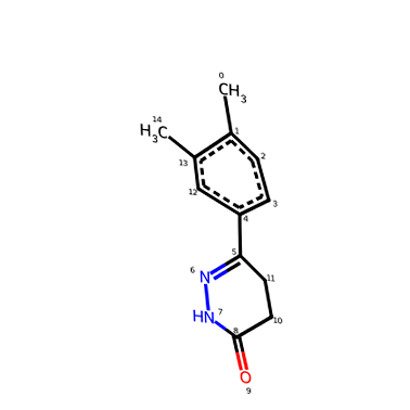 Cc1ccc(C2=NNC(=O)CC2)cc1C